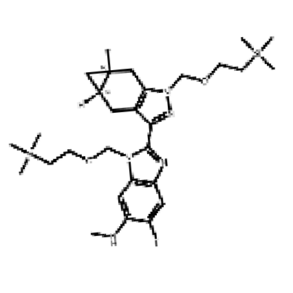 CNc1cc2c(cc1F)nc(-c1nn(COCC[Si](C)(C)C)c3c1C[C@@H]1C[C@]1(C)C3)n2COCC[Si](C)(C)C